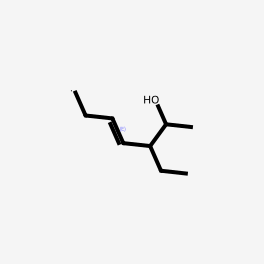 [CH2]C/C=C/C(CC)C(C)O